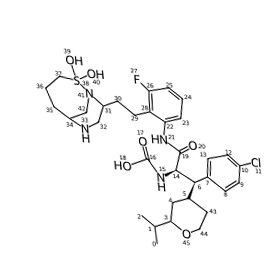 CC(C)C1CC([C@H](c2ccc(Cl)cc2)[C@@H](NC(=O)O)C(=O)Nc2cccc(F)c2CCC2CNC3CCCS(O)(O)N2C3)CCO1